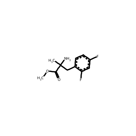 COC(=O)C(C)(N)Cc1ccc(F)cc1F